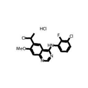 COc1cc2ncnc(Nc3cccc(Cl)c3F)c2cc1C(C)Cl.Cl